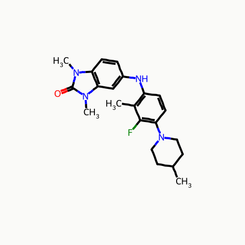 Cc1c(Nc2ccc3c(c2)n(C)c(=O)n3C)ccc(N2CCC(C)CC2)c1F